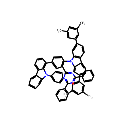 FC(F)(F)c1cc(-c2ccc3c4ccc(-c5cc(C(F)(F)F)cc(C(F)(F)F)c5)cc4n(-c4ccc(-c5cccc6c7ccccc7n(-c7ccccc7)c56)cc4-c4nc(-c5ccccc5)nc(-c5ccccc5)n4)c3c2)cc(C(F)(F)F)c1